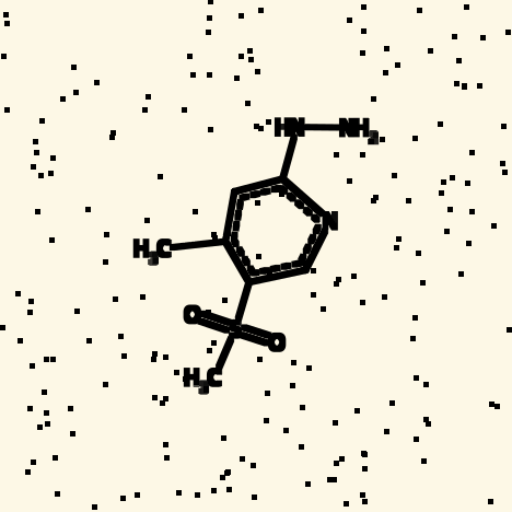 Cc1cc(NN)ncc1S(C)(=O)=O